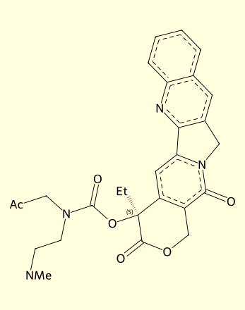 CC[C@@]1(OC(=O)N(CCNC)CC(C)=O)C(=O)OCc2c1cc1n(c2=O)Cc2cc3ccccc3nc2-1